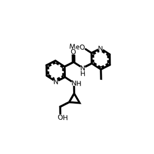 COc1nccc(C)c1NC(=O)c1cccnc1NC1CC1CO